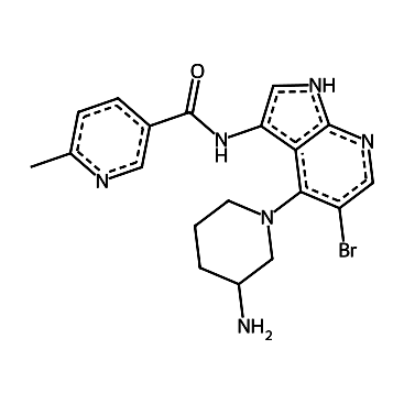 Cc1ccc(C(=O)Nc2c[nH]c3ncc(Br)c(N4CCCC(N)C4)c23)cn1